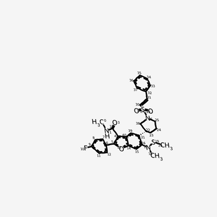 CNC(=O)c1c(-c2ccc(F)cc2)oc2cc(N(C)SC)c([C@H]3CCCN(S(=O)(=O)/C=C/c4ccccc4)C3)cc12